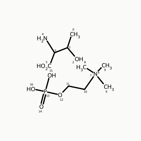 CC(O)C(N)C(=O)O.C[N+](C)(C)CCOP(=O)(O)O